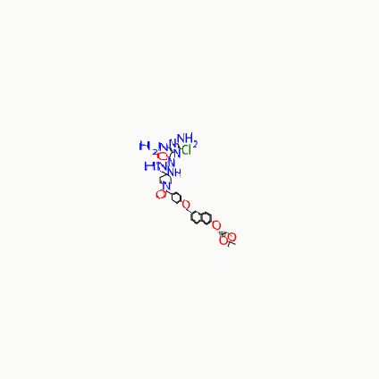 CC1(C)OC[C@@H](COc2ccc3cc(COc4ccc(C(=O)N5CCC6(CC5)CN/C(=N\C(=O)c5nc(Cl)c(N)nc5N)N6)cc4)ccc3c2)O1